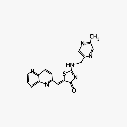 Cc1cnc(CNC2=NC(=O)/C(=C/c3ccc4ncccc4n3)S2)cn1